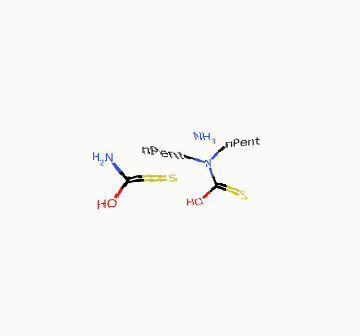 CCCCCN(CCCCC)C(O)=S.N.NC(O)=S